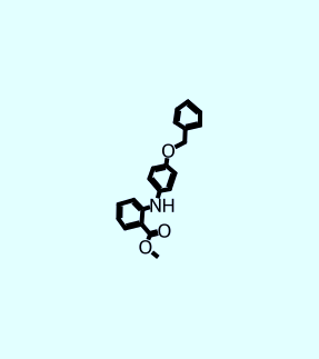 COC(=O)c1ccccc1Nc1ccc(OCc2ccccc2)cc1